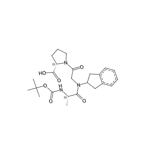 C[C@H](NC(=O)OC(C)(C)C)C(=O)N(CC(=O)N1CCC[C@H]1C(=O)O)C1Cc2ccccc2C1